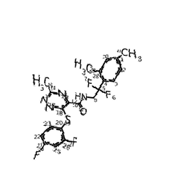 Cc1ccc(C(F)(F)CNC(=O)c2nc(C)nnc2Sc2ccc(F)cc2F)c(C)c1